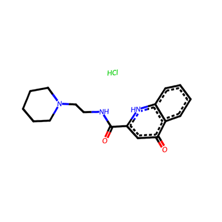 Cl.O=C(NCCN1CCCCC1)c1cc(=O)c2ccccc2[nH]1